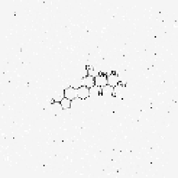 C[C@]12CCC3c4cc(O)c(O)c(N[C@@H](CS)C(=O)O)c4CCC3C1CCC2=O